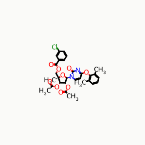 CC(=O)O[C@H]1[C@H](n2ccc(Oc3c(C)cccc3C)nc2=O)O[C@](C)(COC(=O)c2cccc(Cl)c2)[C@H]1OC(C)=O